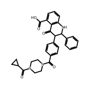 O=C(O)c1cccc2c1C(=O)C(c1ccc(C(=O)N3CCN(C(=O)C4CC4)CC3)cc1)C(c1ccccc1)N2